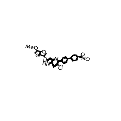 CO[C@@H]1COC2C1OC[C@H]2Oc1cc2nc(-c3ccc(C4=CCC(C(=O)N=O)CC4)cc3)c(Cl)cc2[nH]1